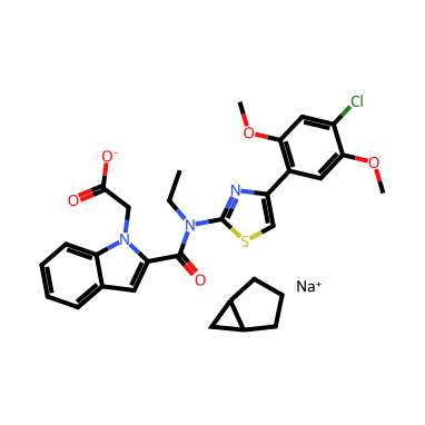 C1CC2CC2C1.CCN(C(=O)c1cc2ccccc2n1CC(=O)[O-])c1nc(-c2cc(OC)c(Cl)cc2OC)cs1.[Na+]